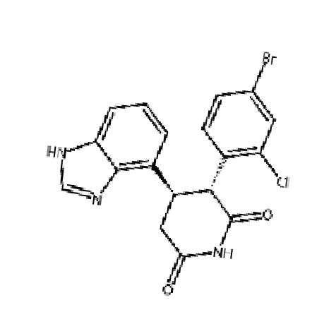 O=C1C[C@@H](c2cccc3[nH]cnc23)[C@H](c2ccc(Br)cc2Cl)C(=O)N1